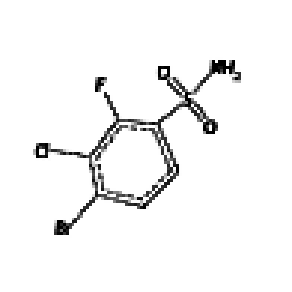 NS(=O)(=O)c1ccc(Br)c(Cl)c1F